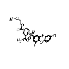 COCCOC(=O)N1CCN(S(=O)(=O)c2cc(F)c(Oc3ccc(Cl)cc3)c(F)c2)[C@@H](C(N)=O)C1